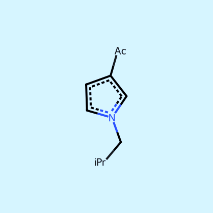 CC(=O)c1ccn(CC(C)C)c1